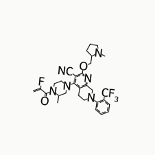 C=C(F)C(=O)N1CCN(c2c(C#N)c(OCC3CCCN3C)nc3c2CCN(c2ccccc2C(F)(F)F)C3)CC1C